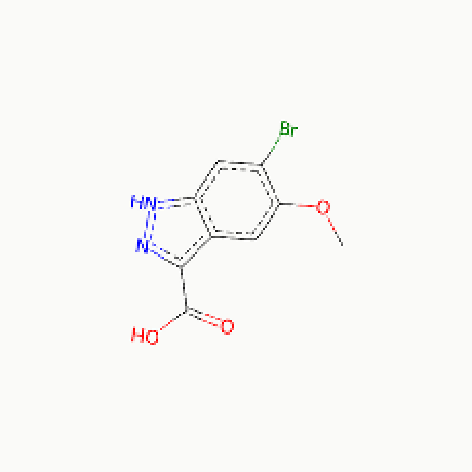 COc1cc2c(C(=O)O)n[nH]c2cc1Br